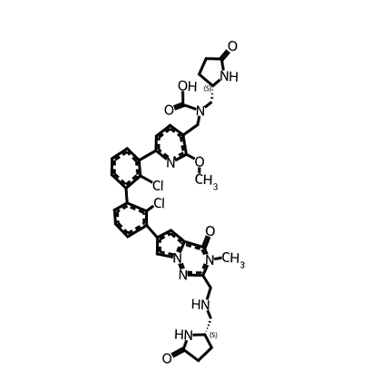 COc1nc(-c2cccc(-c3cccc(-c4cc5c(=O)n(C)c(CNC[C@@H]6CCC(=O)N6)nn5c4)c3Cl)c2Cl)ccc1CN(C[C@@H]1CCC(=O)N1)C(=O)O